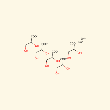 O=C([O-])C(O)CO.O=C([O-])C(O)CO.O=C([O-])C(O)CO.O=C([O-])C(O)CO.O=C([O-])C(O)CO.[Na+].[Zr+4]